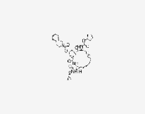 O=C(N[C@H]1CCCCC/C=C\[C@@H]2C[C@@]2(C(=O)NSC2CC2)NC(=O)[C@@H]2C[C@@H](OC(=O)N3CCc4ccccc4C3)CN2C1=O)OC1CCCC1